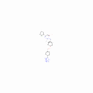 CCCCc1nc(-c2ccccc2Cl)cc(=O)n1Cc1ccc(OCc2ccc(-c3nnn[nH]3)cc2)cc1